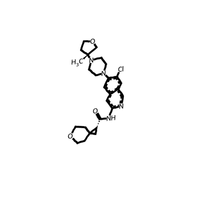 C[C@@]1(N2CCN(c3cc4cc(NC(=O)[C@@H]5CC56CCOCC6)ncc4cc3Cl)CC2)CCOC1